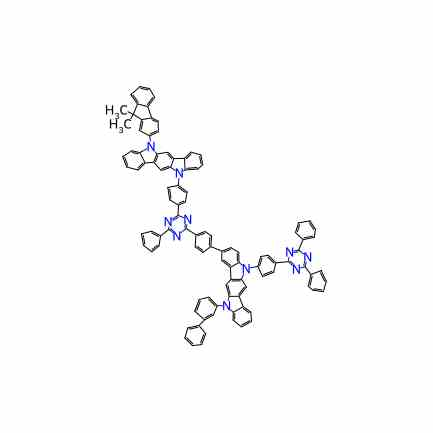 CC1(C)c2ccccc2-c2ccc(-n3c4ccccc4c4cc5c(cc43)c3ccccc3n5-c3ccc(-c4nc(-c5ccccc5)nc(-c5ccc(-c6ccc7c(c6)c6cc8c(cc6n7-c6ccc(-c7nc(-c9ccccc9)nc(-c9ccccc9)n7)cc6)c6ccccc6n8-c6cccc(-c7ccccc7)c6)cc5)n4)cc3)cc21